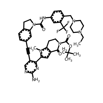 CCN1CCN(Cc2ccc(NC(=O)N3CCc4ccc(C#Cc5cnc(N)nc5-c5cc6c(n5C)CCN(C(=O)OC(C)(C)C)C6=O)cc43)cc2C(F)(F)F)CC1